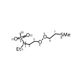 CCN(CCOOCCSC)S(C)(=O)=O